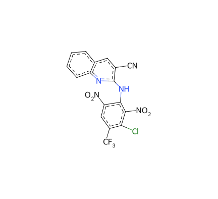 N#Cc1cc2ccccc2nc1Nc1c([N+](=O)[O-])cc(C(F)(F)F)c(Cl)c1[N+](=O)[O-]